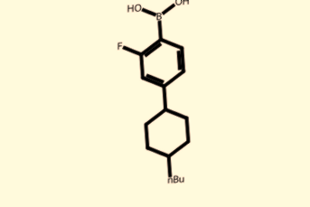 CCCCC1CCC(c2ccc(B(O)O)c(F)c2)CC1